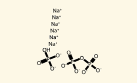 O=P([O-])([O-])O.O=P([O-])([O-])OP(=O)([O-])[O-].[Na+].[Na+].[Na+].[Na+].[Na+].[Na+]